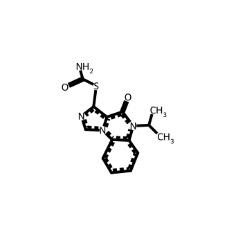 CC(C)n1c(=O)c2c(SC(N)=O)ncn2c2ccccc21